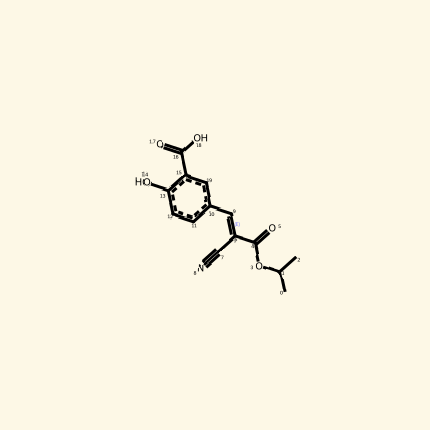 CC(C)OC(=O)/C(C#N)=C/c1ccc(O)c(C(=O)O)c1